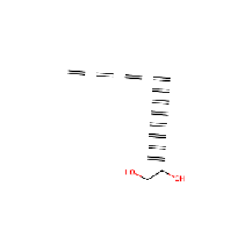 C=C.C=C.C=C.C=C.C=C.C=C.C=C.C=C.C=C.C=C.C=C.OCCO